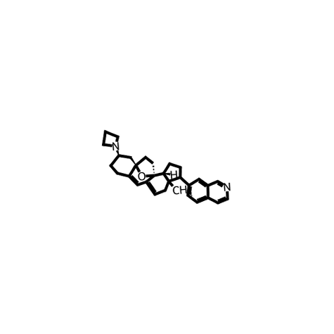 CC12CC=C3C=C4CC[C@@H](N5CCC5)C[C@]45CC[C@]3(O5)[C@@H]1CCC2c1ccc2ccncc2c1